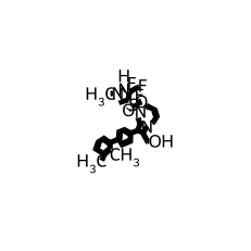 Cc1cccc(-c2ccc(C3C(CO)N4C/C=C\CN(S(=O)(=O)C5CN(C)NC5C(F)(F)F)CC34)cc2)c1C